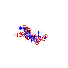 CC[C@H](C)[C@H](NC(=O)C(C)(C)N(C)C)C(=O)N(C)[C@H](C[C@@H](OC(C)=O)c1nc(C(=O)N[C@@H](Cc2ccc(O)c(NC(=O)CCCNC(=O)[C@H](CCCCNC(=O)CCCN3C(=O)C=CC3=O)NC(=O)CCCN3C(=O)C=CC3=O)c2)CC(C)C(=O)O)cs1)C(C)C